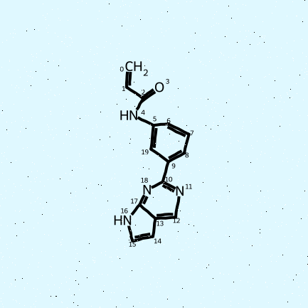 C=CC(=O)Nc1cccc(-c2ncc3cc[nH]c3n2)c1